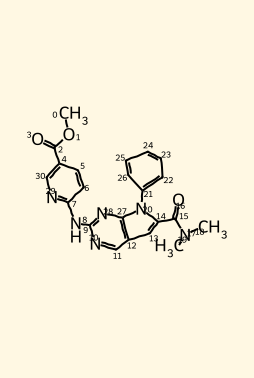 COC(=O)c1ccc(Nc2ncc3cc(C(=O)N(C)C)n(-c4ccccc4)c3n2)nc1